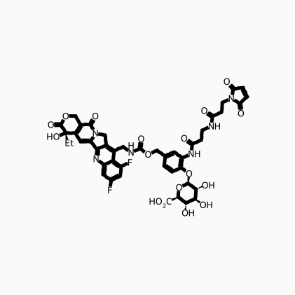 CC[C@@]1(O)C(=O)OCc2c1cc1n(c2=O)Cc2c-1nc1cc(F)cc(F)c1c2CNC(=O)OCc1ccc(O[C@@H]2O[C@H](C(=O)O)[C@@H](O)[C@H](O)[C@H]2O)c(NC(=O)CCNC(=O)CCN2C(=O)C=CC2=O)c1